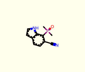 CP(C)(=O)c1c(C#N)ccc2cc[nH]c12